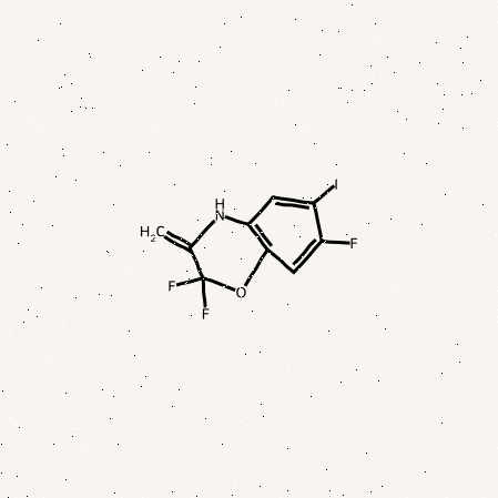 C=C1Nc2cc(I)c(F)cc2OC1(F)F